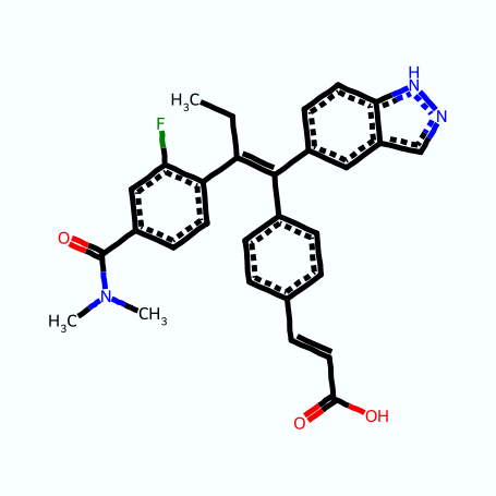 CC/C(=C(/c1ccc(/C=C/C(=O)O)cc1)c1ccc2[nH]ncc2c1)c1ccc(C(=O)N(C)C)cc1F